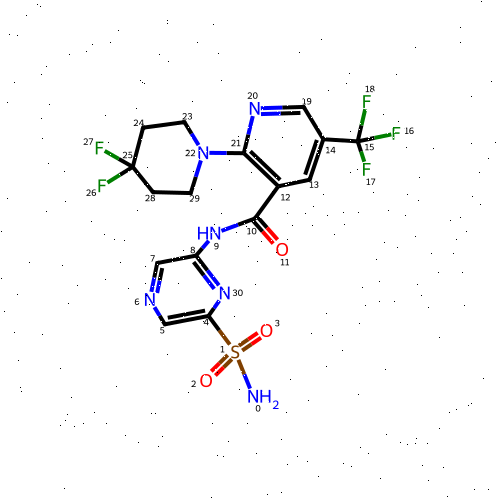 NS(=O)(=O)c1cncc(NC(=O)c2cc(C(F)(F)F)cnc2N2CCC(F)(F)CC2)n1